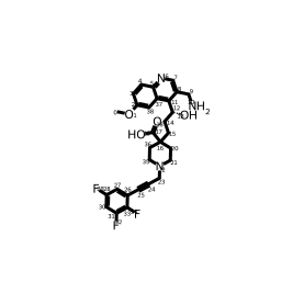 COc1ccc2ncc(CN)c([C@H](O)CCC3(C(=O)O)CCN(CC#Cc4cc(F)cc(F)c4F)CC3)c2c1